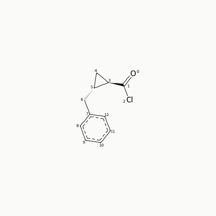 O=C(Cl)[C@@H]1C[C@H]1Cc1ccccc1